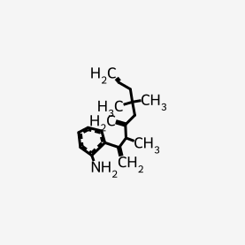 C=CCC(C)(C)CC(=C)C(C)C(=C)c1ccccc1N